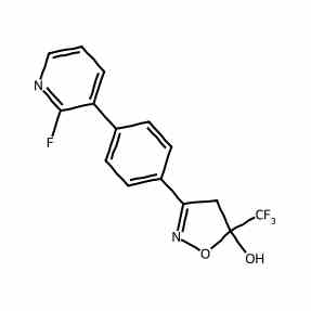 OC1(C(F)(F)F)CC(c2ccc(-c3cccnc3F)cc2)=NO1